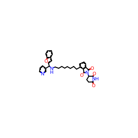 O=C1CCC(N2C(=O)c3cccc(CCCCCCCCNC(c4cccnc4)c4cc5ccccc5o4)c3C2=O)C(=O)N1